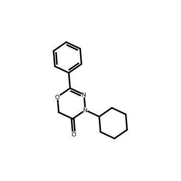 O=C1COC(c2ccccc2)=NN1C1CCCCC1